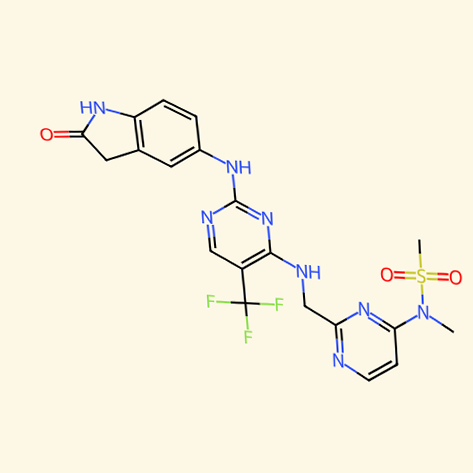 CN(c1ccnc(CNc2nc(Nc3ccc4c(c3)CC(=O)N4)ncc2C(F)(F)F)n1)S(C)(=O)=O